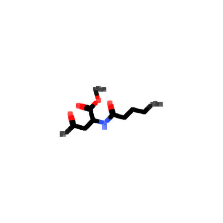 CCCCCCCCCCCCCC(=O)NC(CC(=O)C(C)C)C(=O)OCCCCCCCCC